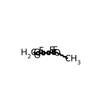 C=CC1OCC(c2ccc(-c3ccc(-c4ccc(OCCCCCCCC)c(F)c4F)cc3)cc2F)CO1